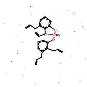 C=CCc1cccc(OP(=S)(S)Oc2cccc(CC=C)c2CC=C)c1CC=C